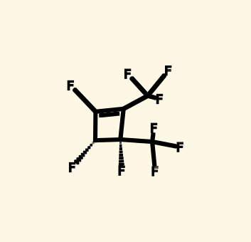 FC1=C(C(F)(F)F)[C@@](F)(C(F)(F)F)[C@@H]1F